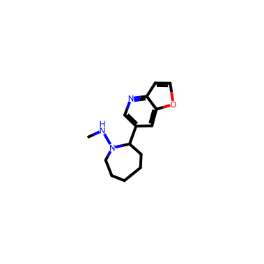 CNN1CCCCCC1c1cnc2ccoc2c1